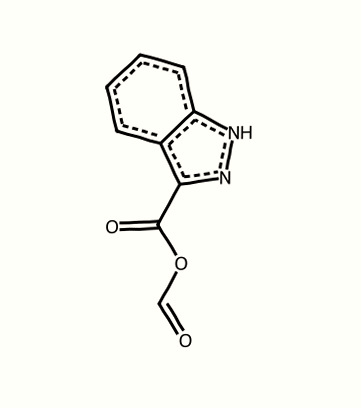 O=COC(=O)c1n[nH]c2ccccc12